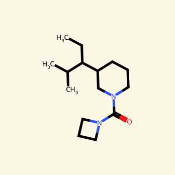 CCC(C(C)C)C1CCCN(C(=O)N2CCC2)C1